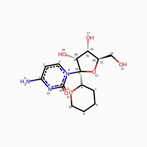 Nc1ccn([C@]2(C3CCCCO3)O[C@H](CO)[C@@H](O)[C@H]2O)c(=O)n1